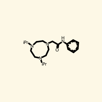 CC(C)N1CCN(CC(=O)Nc2ccccc2)CCN(C(C)C)CC1